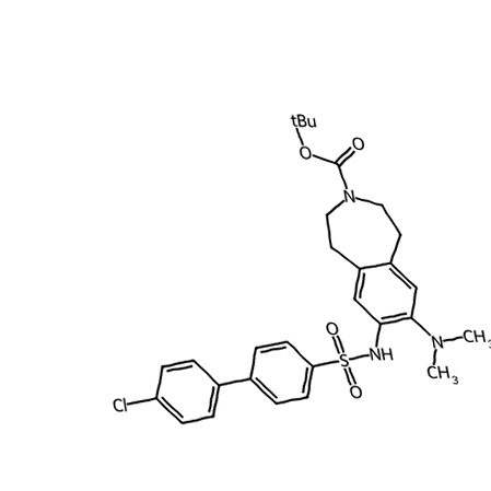 CN(C)c1cc2c(cc1NS(=O)(=O)c1ccc(-c3ccc(Cl)cc3)cc1)CCN(C(=O)OC(C)(C)C)CC2